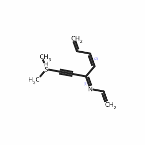 C=C/C=C\C(C#C[SH](C)C)=N/C=C